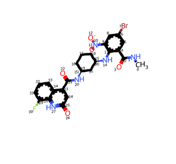 CNC(=O)c1cc(Br)cc([N+](=O)[O-])c1N[C@@H]1CCC[C@H](NC(=O)c2cc(=O)[nH]c3c(F)cccc23)C1